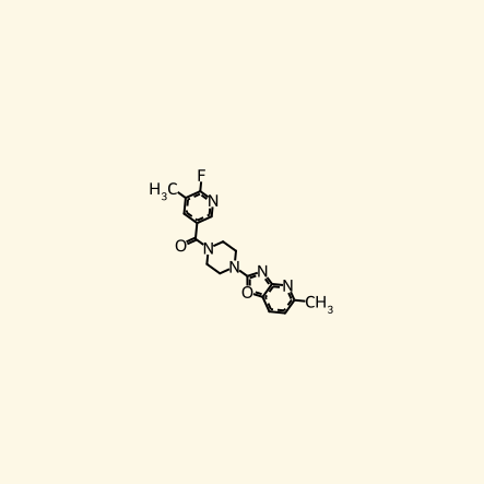 Cc1ccc2oc(N3CCN(C(=O)c4cnc(F)c(C)c4)CC3)nc2n1